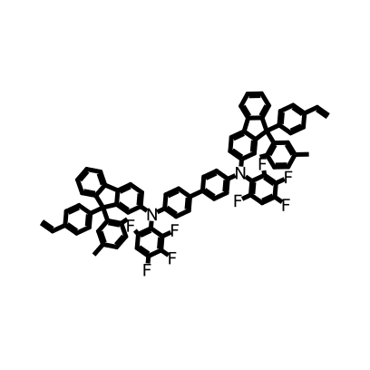 C=Cc1ccc(C2(c3cc(C)ccc3C)c3ccccc3-c3ccc(N(c4ccc(-c5ccc(N(c6ccc7c(c6)C(c6ccc(C=C)cc6)(c6cc(C)ccc6C)c6ccccc6-7)c6c(F)cc(F)c(F)c6F)cc5)cc4)c4c(F)cc(F)c(F)c4F)cc32)cc1